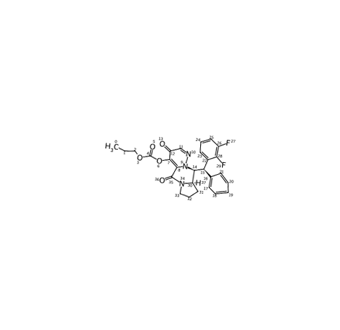 CCCOC(=O)Oc1c2n(ncc1=O)[C@@H]([C@H](c1ccccc1)c1cccc(F)c1F)[C@H]1CCCN1C2=O